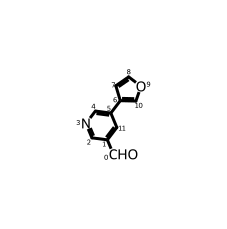 O=Cc1cncc(-c2ccoc2)c1